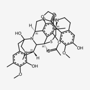 COc1cc2c(cc1O)CCN[C@]21CS[C@@H]2c3c(OC(C)=O)c(C)c4c(c3[C@H](COC1=O)N1C2[C@@H]2c3c(cc(C)c(OC)c3O)CC1(O)CN2C)OCO4